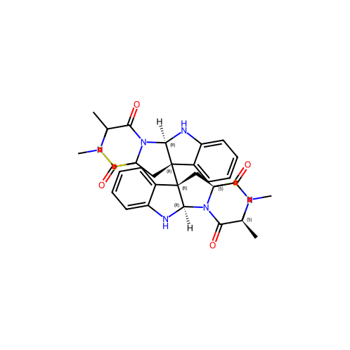 CN1C(=O)C23C[C@]4([C@]56C[C@@]78SS[C@@](C)(C(=O)N7[C@H]5Nc5ccccc56)N(C)C8=O)c5ccccc5N[C@@H]4N2C(=O)C1(C)SS3